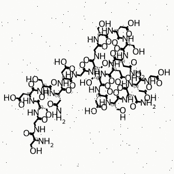 NC(=O)C[C@H](NC(=O)[C@H](CO)NC(=O)[C@H](CC(=O)O)NC(=O)[C@H](CO)NC(=O)CNC(=O)[C@@H](N)CO)C(=O)N[C@@H](CC(=O)O)C(=O)NCC(=O)N[C@@H](CO)C(=O)NCC(=O)N[C@@H](CO)C(=O)N[C@@H](CC(=O)O)C(=O)N[C@@H](CO)C(=O)N[C@@H](CC(N)=O)C(=O)N[C@@H](CC(=O)O)C(=O)N[C@@H](CO)C(=O)N[C@@H](CC(=O)O)C(=O)N[C@@H](CO)C(=O)N[C@@H](CC(N)=O)C(=O)N[C@@H](CC(=O)O)C(=O)NCC(=O)O